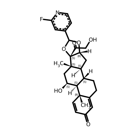 C[C@]12C=CC(=O)C=C1CC[C@@H]1[C@@H]2[C@@H](O)C[C@@]2(C)[C@H]1C[C@H]1OC(c3ccnc(F)c3)O[C@]12C(=O)CO